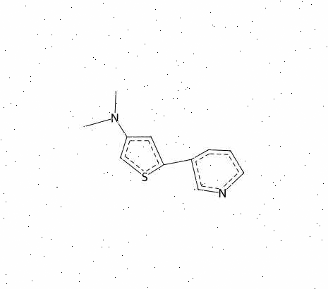 CN(C)c1csc(-c2[c]nccc2)c1